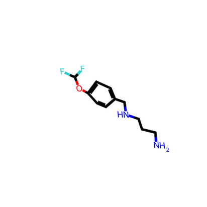 NCCCNCc1ccc(OC(F)F)cc1